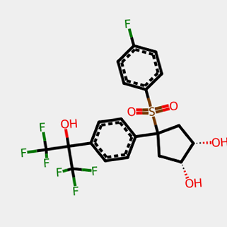 O=S(=O)(c1ccc(F)cc1)C1(c2ccc(C(O)(C(F)(F)F)C(F)(F)F)cc2)C[C@@H](O)[C@@H](O)C1